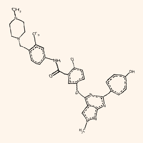 CN1CCN(Cc2ccc(NC(=O)c3cc(Oc4nc(-c5ccc(O)cc5)nc5nn(C)cc45)ccc3Cl)cc2C(F)(F)F)CC1